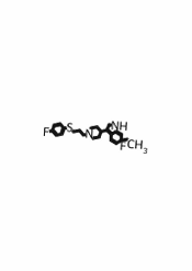 CCC1(F)C=CC2=C(C3CCN(CCCSc4ccc(F)cc4)CC3)CNC2=C1